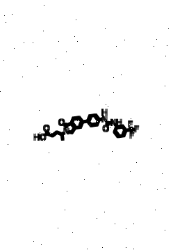 CC(CCC(=O)O)N1Cc2cc(-c3ccc(NC(=O)Nc4cccc(C(F)(F)F)c4)cc3)ccc2C1=O